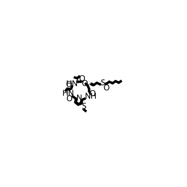 C/C=C1\NC(=O)c2ccc(SCC)c(n2)CNC(=O)C[C@@H](/C=C/CCSC(=O)CCCCC)OC(=O)[C@H](C(C)C)NC1=O